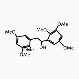 COc1cc(CC(O)c2cc(OC)cc(OC)c2OC)c(OC)c(OC)c1